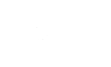 N[C@@H](CC(Sc1ccccc1)C(=O)O)C(=O)O